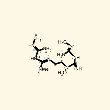 C/N=C(\N)NC(=N)N(C)CC/N=C(\NC)N/C(N)=N/C